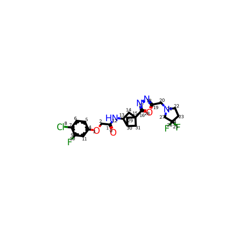 O=C(COc1ccc(Cl)c(F)c1)NC1CC2(c3nnc(CN4CCC(F)(F)C4)o3)CC1C2